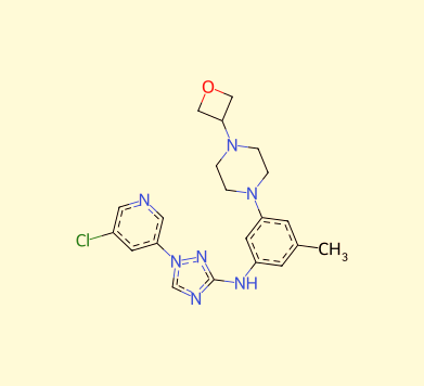 Cc1cc(Nc2ncn(-c3cncc(Cl)c3)n2)cc(N2CCN(C3COC3)CC2)c1